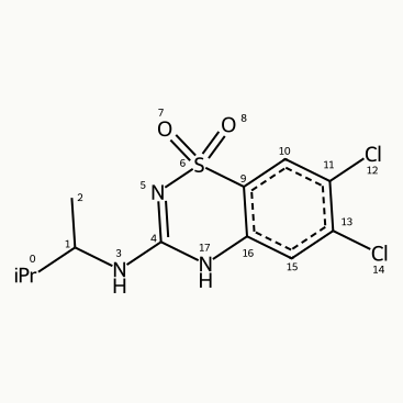 CC(C)C(C)NC1=NS(=O)(=O)c2cc(Cl)c(Cl)cc2N1